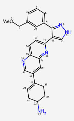 COCc1cccc(-c2n[nH]cc2-c2ccc3ncc(C4=CCC(N)CC4)cc3n2)c1